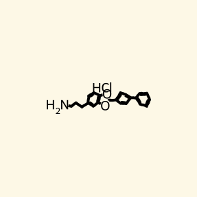 Cl.NCCCc1ccc2c(c1)OC(c1ccc(-c3ccccc3)cc1)O2